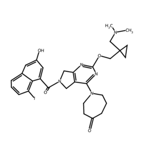 CN(C)CC1(COc2nc3c(c(N4CCCC(=O)CC4)n2)CN(C(=O)c2cc(O)cc4cccc(I)c24)C3)CC1